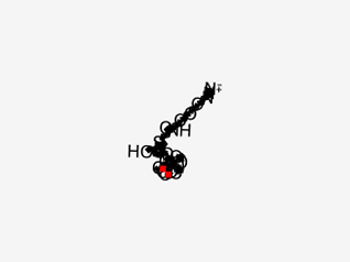 COC(=O)[C@H]1O[C@@H](Oc2ccc(CO)c3sc(CCC(=O)NCCOCCOCCOCCN=[N+]=[N-])cc23)[C@H](OC(C)=O)[C@@H](OC(C)=O)[C@@H]1OC(C)=O